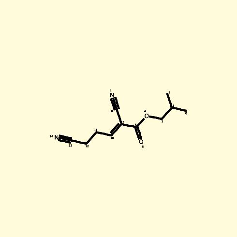 CC(C)COC(=O)C(C#N)=CCCC#N